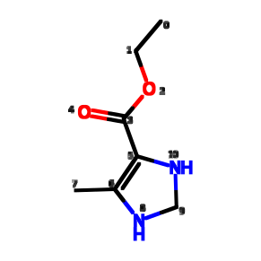 CCOC(=O)C1=C(C)NCN1